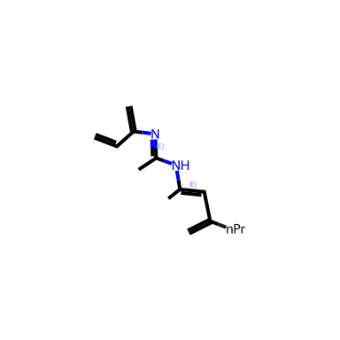 C=CC(=C)/N=C(\C)N/C(C)=C/C(=C)CCC